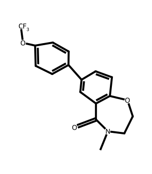 CN1CCOc2ccc(-c3ccc(OC(F)(F)F)cc3)cc2C1=O